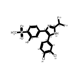 CS(=O)(=O)c1ccc(-c2nc(C(F)F)[nH]c2-c2ccc(Cl)c(Cl)c2)cc1F